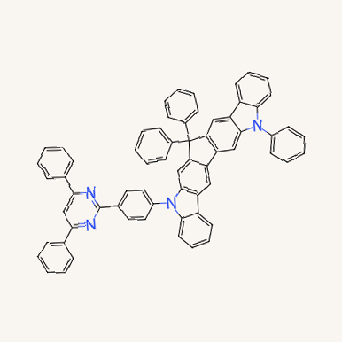 c1ccc(-c2cc(-c3ccccc3)nc(-c3ccc(-n4c5ccccc5c5cc6c(cc54)C(c4ccccc4)(c4ccccc4)c4cc5c7ccccc7n(-c7ccccc7)c5cc4-6)cc3)n2)cc1